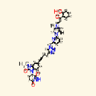 Cn1c(=O)n(C2CCC(=O)NC2=O)c2ccc(C#CCCc3cn(Cc4cccc(N5C[C@H]6C[C@@H]5CN6/C=C/C(=O)c5ccccc5O)n4)nn3)cc21